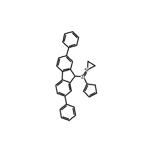 C1=CC[C]([Zr]([CH]2c3cc(-c4ccccc4)ccc3-c3ccc(-c4ccccc4)cc32)=[Si]2CC2)=C1